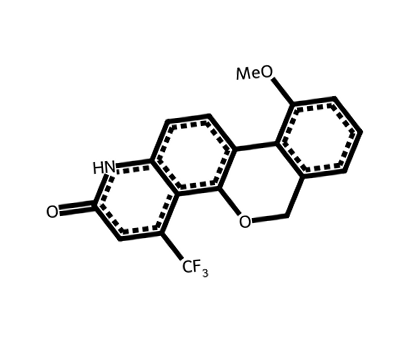 COc1cccc2c1-c1ccc3[nH]c(=O)cc(C(F)(F)F)c3c1OC2